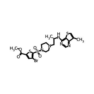 COC(=O)c1cc(Br)c(S(=O)(=O)N2CCN(C[C@H](C)Nc3ncnc4c(C)csc34)CC2)s1